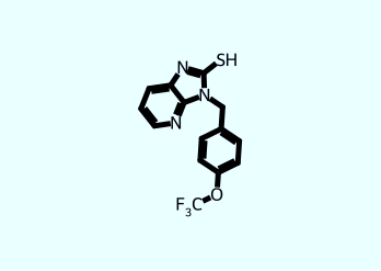 FC(F)(F)Oc1ccc(Cn2c(S)nc3cccnc32)cc1